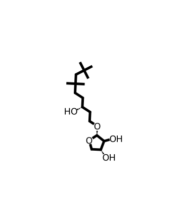 CC(C)(C)CC(C)(C)CC[C@@H](O)CCO[C@H]1OC[C@@H](O)C1O